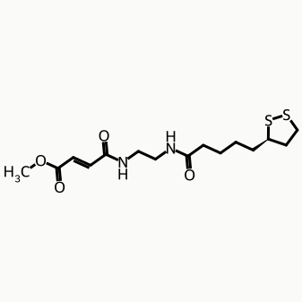 COC(=O)C=CC(=O)NCCNC(=O)CCCC[C@@H]1CCSS1